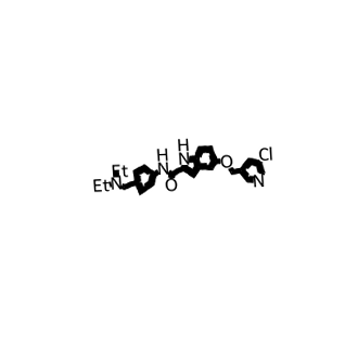 CCN(CC)Cc1ccc(NC(=O)c2cc3cc(OCc4cncc(Cl)c4)ccc3[nH]2)cc1